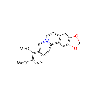 COc1ccc2cc3c4cc5c(cc4cc[n+]3cc2c1OC)OCO5